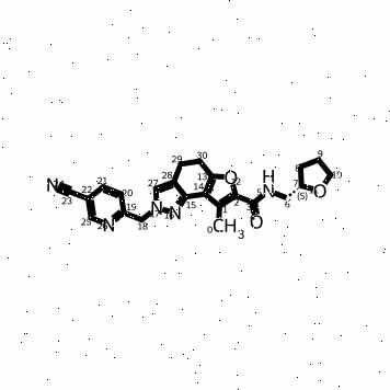 Cc1c(C(=O)NC[C@@H]2CCCO2)oc2c1-c1nn(Cc3ccc(C#N)cn3)cc1CC2